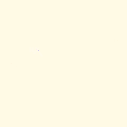 Cc1cc(CC(=O)O)c(N)c(C(=O)c2ccc(Br)cc2)c1